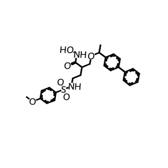 COc1ccc(S(=O)(=O)NCCC(COC(C)c2ccc(-c3ccccc3)cc2)C(=O)NO)cc1